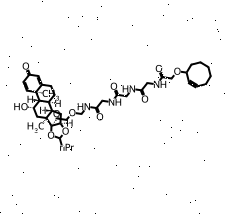 CCCC1O[C@@H]2C[C@H]3[C@@H]4CCC5=CC(=O)C=C[C@]5(C)[C@H]4[C@@H](O)C[C@]3(C)[C@]2(C(=O)COCNC(=O)CNC(=O)CNC(=O)CNC(=O)COC2C#CCCCCC2)O1